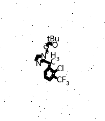 CC(c1cccc(C(F)(F)F)c1Cl)c1nccn1COC(=O)C(C)(C)C